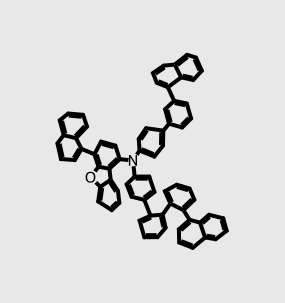 c1cc(-c2ccc(N(c3ccc(-c4ccccc4-c4ccccc4-c4cccc5ccccc45)cc3)c3ccc(-c4cccc5ccccc45)c4oc5ccccc5c34)cc2)cc(-c2cccc3ccccc23)c1